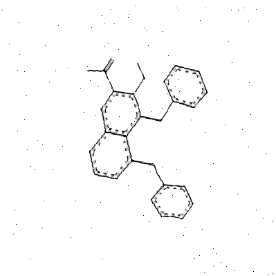 CCc1c(C(=O)O)cc2cccc(Cc3ccccc3)c2c1Cc1ccccc1